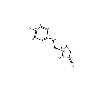 O=C1CC[C@H](COc2ccc(F)cc2)O1